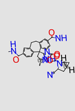 CNC(=O)c1ccc2c(c1)CCc1cc(C(=O)NC)ccc1C2(C[C@H](C)NCC(=O)N1C(C#N)C[C@@H]2C[C@@H]21)c1nc(=O)on1C